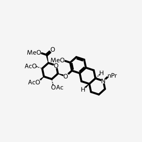 CCCN1CCC[C@@H]2Cc3c(ccc(OC)c3O[C@@H]3O[C@H](C(=O)OC)[C@@H](OC(C)=O)[C@H](OC(C)=O)[C@H]3OC(C)=O)C[C@H]21